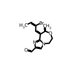 C=C1OCCn2cc(C=O)nc2/C1=C/C(Br)=C\C